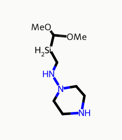 COC(OC)[SiH2]CNN1CCNCC1